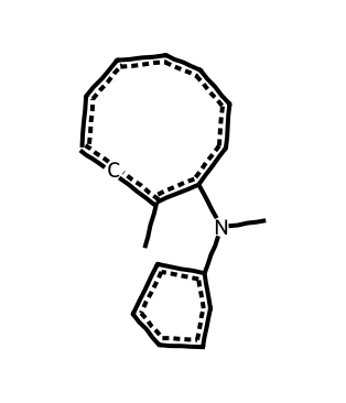 Cc1ccccccccc1N(C)c1ccccc1